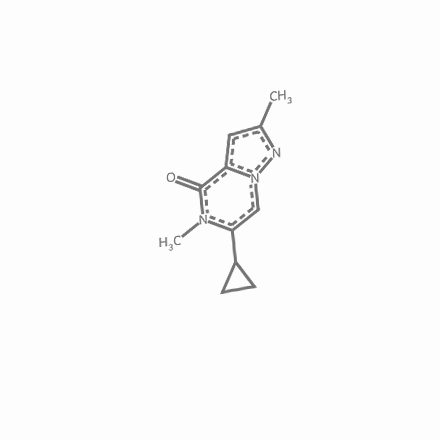 Cc1cc2c(=O)n(C)c(C3CC3)cn2n1